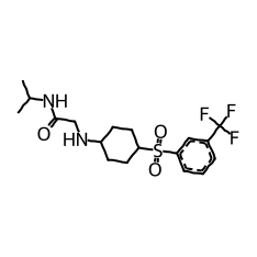 CC(C)NC(=O)CNC1CCC(S(=O)(=O)c2cccc(C(F)(F)F)c2)CC1